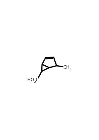 CC1C=CC2C(C(=O)O)C12